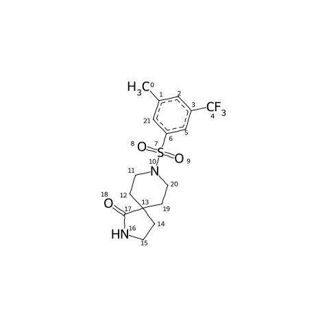 Cc1cc(C(F)(F)F)cc(S(=O)(=O)N2CCC3(CCNC3=O)CC2)c1